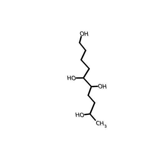 CC(O)CCC(O)C(O)CCCCO